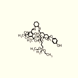 CCO[Si](C)(CCCCCCC(C=N[C@@H]1CCCC[C@H]1N=Cc1cc(C(C)(C)C)cc(C(C)(C)C)c1O)CC(CC(=O)Oc1ccc(O)cc1)C(C)(C)C)OCC